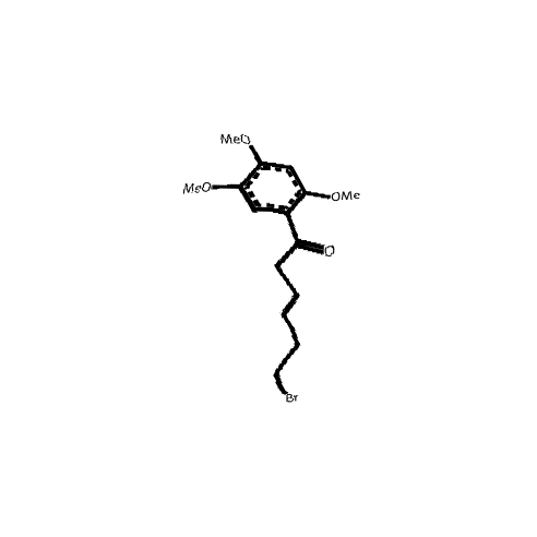 COc1cc(OC)c(C(=O)CCCCCBr)cc1OC